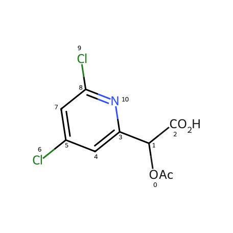 CC(=O)OC(C(=O)O)c1cc(Cl)cc(Cl)n1